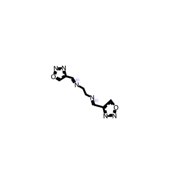 C(=N\CC/N=C/c1conn1)/c1conn1